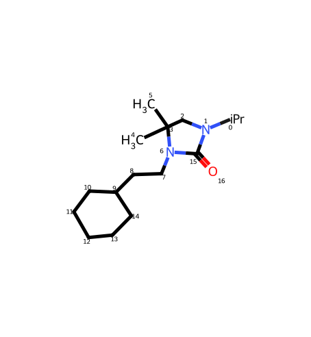 CC(C)N1CC(C)(C)N(CCC2CCCCC2)C1=O